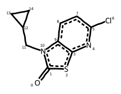 O=c1sc2nc(Cl)ccc2n1CC1CC1